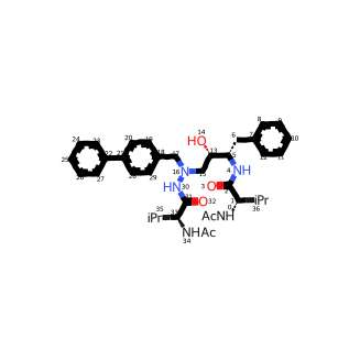 CC(=O)N[C@H](C(=O)N[C@@H](Cc1ccccc1)[C@@H](O)CN(Cc1ccc(-c2ccccc2)cc1)NC(=O)[C@@H](NC(C)=O)C(C)C)C(C)C